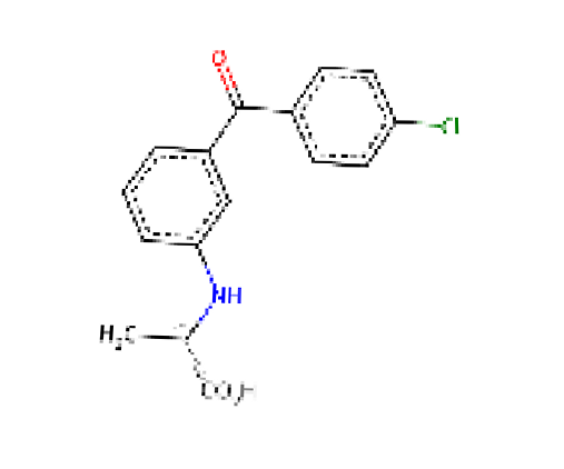 C[C@H](Nc1cccc(C(=O)c2ccc(Cl)cc2)c1)C(=O)O